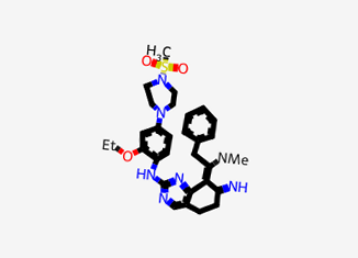 CCOc1cc(N2CCN(S(C)(=O)=O)CC2)ccc1Nc1ncc2c(n1)/C(=C(\Cc1ccccc1)NC)C(=N)CC2